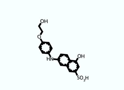 O=S(=O)(O)c1cc(O)c2ccc(Nc3ccc(OCCO)cc3)cc2c1